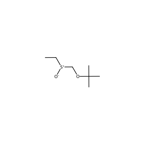 CC[S+]([O-])COC(C)(C)C